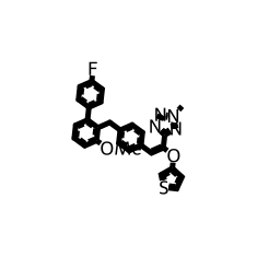 COc1cccc(-c2ccc(F)cc2)c1Cc1ccc(/C=C(/Oc2ccsc2)c2nnn(C)n2)cc1